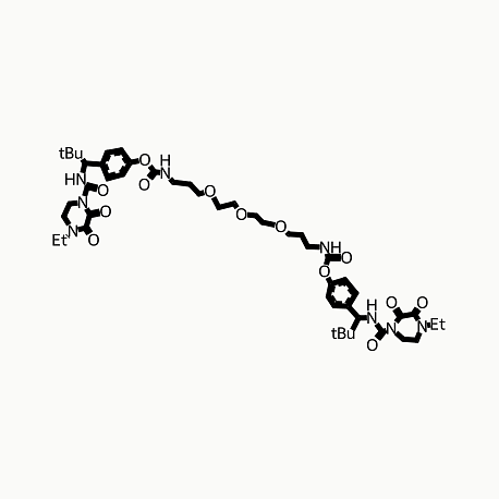 CCN1CCN(C(=O)NC(c2ccc(OC(=O)NCCCOCCOCCOCCCNC(=O)Oc3ccc(C(NC(=O)N4CCN(CC)C(=O)C4=O)C(C)(C)C)cc3)cc2)C(C)(C)C)C(=O)C1=O